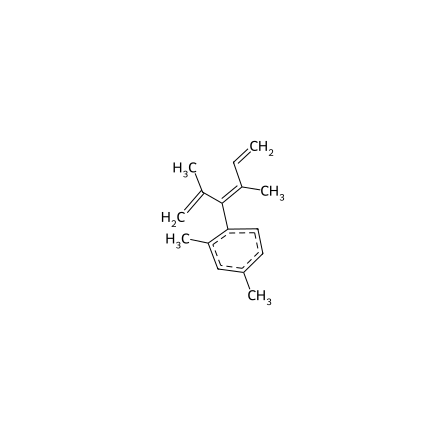 C=C/C(C)=C(\C(=C)C)c1ccc(C)cc1C